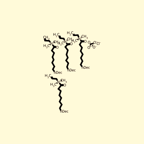 C=CC[N+](C)(C)C(=O)CCCCCCCCCCCCCCCCC.C=CC[N+](C)(C)C(=O)CCCCCCCCCCCCCCCCC.C=CC[N+](C)(C)C(=O)CCCCCCCCCCCCCCCCC.C=CC[N+](C)(C)C(=O)CCCCCCCCCCCCCCCCC.O=P([O-])([O-])[O-].[Cl-]